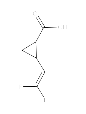 O=C(O)C1CC1C=C(F)F